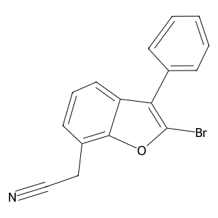 N#CCc1cccc2c(-c3ccccc3)c(Br)oc12